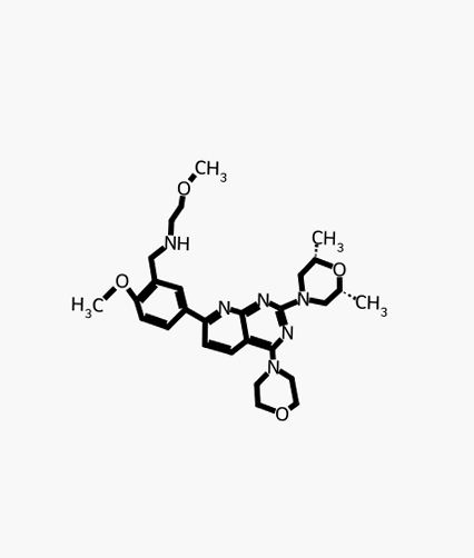 COCCNCc1cc(-c2ccc3c(N4CCOCC4)nc(N4C[C@@H](C)O[C@@H](C)C4)nc3n2)ccc1OC